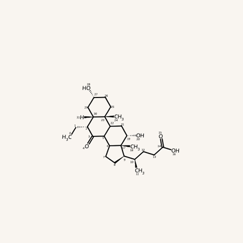 CC[C@H]1C(=O)C2C3CC[C@H]([C@H](C)CCC(=O)O)[C@@]3(C)[C@@H](O)CC2[C@@]2(C)CC[C@@H](O)C[C@@H]12